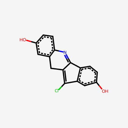 Oc1ccc2c(c1)CC1=C(Cl)c3cc(O)ccc3C1=N2